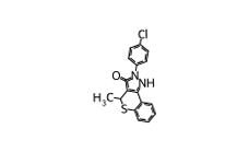 CC1Sc2ccccc2-c2[nH]n(-c3ccc(Cl)cc3)c(=O)c21